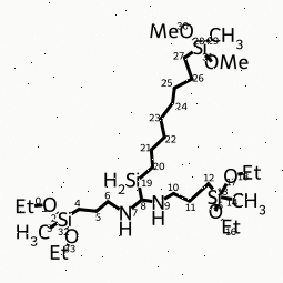 CCO[Si](C)(CCCNC(NCCC[Si](C)(OCC)OCC)[SiH2]CCCCCCCC[Si](C)(OC)OC)OCC